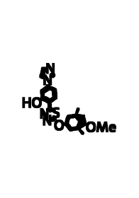 CO[C@@H]1C[C@@]2(C)C[C@H](Oc3nnc(-c4ccc(-n5ccnc5)cc4O)s3)C[C@]1(C)C2